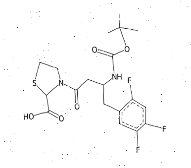 CC(C)(C)OC(=O)NC(CC(=O)N1CCSC1C(=O)O)Cc1cc(F)c(F)cc1F